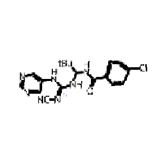 CC(C)(C)C(NC(=O)c1ccc(Cl)cc1)N/C(=N/C#N)Nc1cncnc1